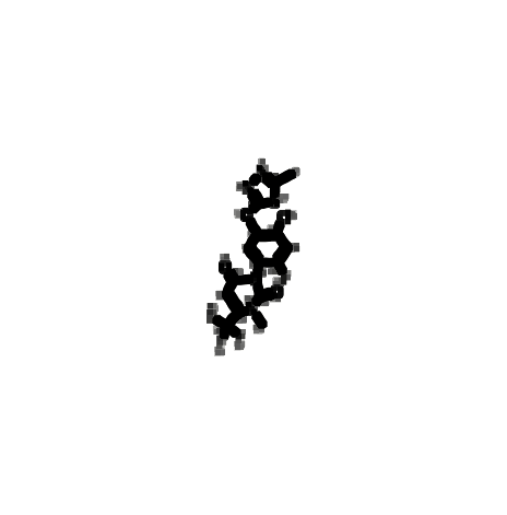 Cc1nnc(Oc2cc(-n3c(=O)cc(C(F)(F)F)n(C)c3=O)c(F)cc2Cl)s1